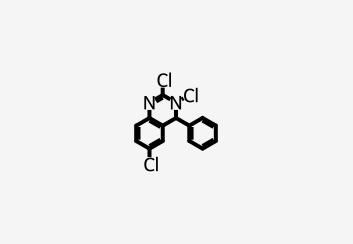 ClC1=Nc2ccc(Cl)cc2C(c2ccccc2)N1Cl